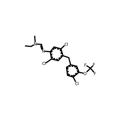 CCN(C)C=Nc1cc(Cl)c(Cc2ccc(Cl)c(OC(F)(F)F)c2)cc1Cl